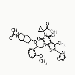 COc1ccccc1C(Cn1c(=O)n(C2(C(=O)O)CC2)c(=O)c2c(C)c(-c3ncco3)sc21)OC1CC2CN(C(C)=O)CC2C1